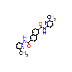 Cc1cccc(NC(=O)c2ccc3cc(C(=O)Nc4cccc(C)n4)ccc3c2)n1